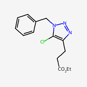 CCOC(=O)CCc1nnn(Cc2ccccc2)c1Cl